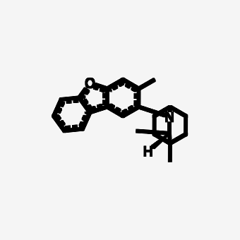 Cc1cc2oc3ccccc3c2cc1N1C2CCC(C)(CC2)[C@@H]1C